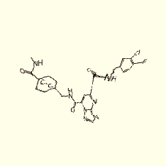 CNC(=O)C12CCC(CNC(=O)c3cc(C(=O)NCc4ccc(F)c(Cl)c4)nc4ncnn34)(CC1)CC2